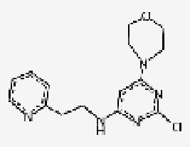 Clc1nc(NCCc2ccccn2)cc(N2CCOCC2)n1